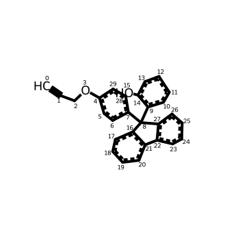 C#CCOc1ccc(C2(c3ccccc3O)c3ccccc3-c3ccccc32)cc1